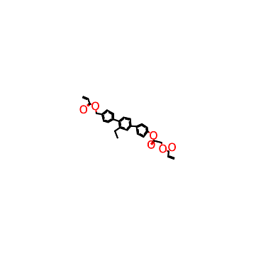 C=CC(=O)OCC(=O)Oc1ccc(-c2ccc(-c3ccc(COC(=O)C=C)cc3)c(CC)c2)cc1